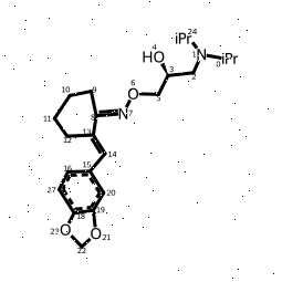 CC(C)N(C[C@H](O)CO/N=C1\CCCC\C1=C/c1ccc2c(c1)OCO2)C(C)C